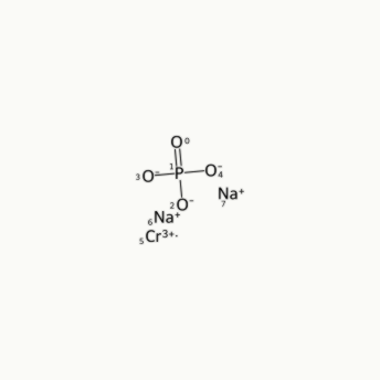 O=P([O-])([O-])[O-].[Cr+3].[Na+].[Na+]